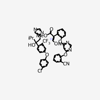 CC(C)C(O)(Cn1cncn1)c1ccc(Oc2ccc(Cl)cc2)cc1C(F)(F)F.CO/C=C(/C(=O)OC)c1ccccc1Oc1cc(Oc2ccccc2C#N)ncn1